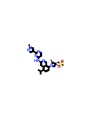 CC(C)c1ccc(N2C[C@@H](CS(C)(=O)=O)[C@@H]2C)c2cnc(Nc3ccnc(-c4cnn(C)c4)n3)cc12